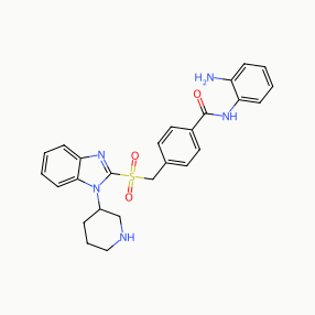 Nc1ccccc1NC(=O)c1ccc(CS(=O)(=O)c2nc3ccccc3n2C2CCCNC2)cc1